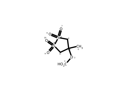 CC1(OC(=O)O)CS(=O)(=O)S(=O)(=O)C1